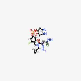 N#CCCOP(=O)(OCCC#N)Oc1ccc(CN(CC2CCC2)C(=O)/C(N)=C/C(=N)Cl)c(F)c1